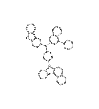 c1ccc(-c2cc(N(c3ccc(-n4c5ccccc5c5c6ccccc6ccc54)cc3)c3ccc4oc5ccccc5c4c3)cc3ccccc23)cc1